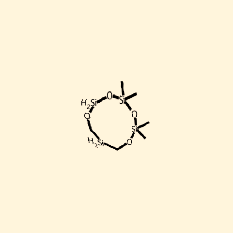 C[Si]1(C)OC[SiH2]CO[SiH2]O[Si](C)(C)O1